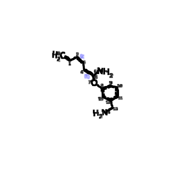 C=C/C=C\C=C(/N)Oc1cccc(CN)c1